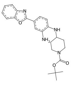 CC(C)(C)OC(=O)N1CCC(Nc2ccc(-c3nc4ccccc4o3)cc2N)CC1